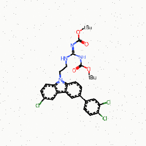 CC(C)(C)OC(=O)/N=C(/NCCn1c2ccc(Cl)cc2c2cc(-c3ccc(Cl)c(Cl)c3)ccc21)NC(=O)OC(C)(C)C